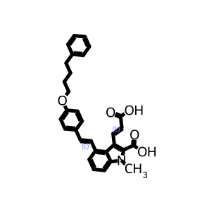 Cn1c(C(=O)O)c(/C=C/C(=O)O)c2c(/C=C/c3ccc(OCCCCc4ccccc4)cc3)cccc21